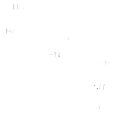 O=CNc1ccc(NC(=O)c2ccc(O)c(O)c2)cc1O